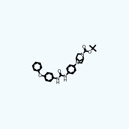 CC(C)(C)OC(=O)N1CC2CC1CN2c1ccc(NC(=O)Nc2ccc(Oc3ccccc3)cc2)cc1